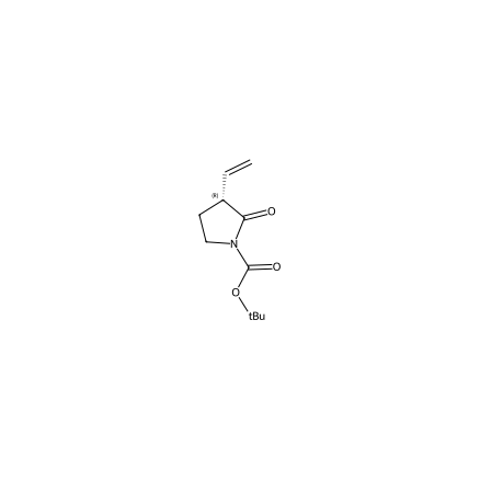 C=C[C@H]1CCN(C(=O)OC(C)(C)C)C1=O